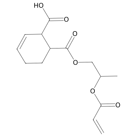 C=CC(=O)OC(C)COC(=O)C1CCC=CC1C(=O)O